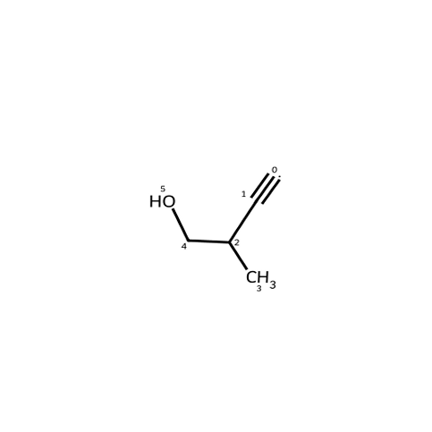 [C]#CC(C)CO